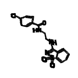 O=C(NCCNC1=NS(=O)(=O)c2ccccc21)c1ccc(Cl)cc1